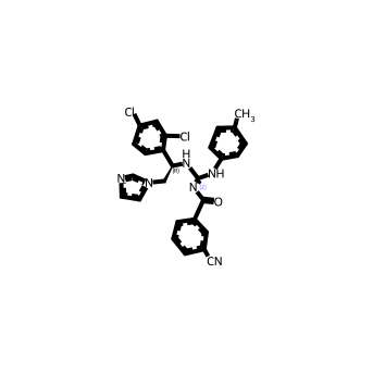 Cc1ccc(N/C(=N\C(=O)c2cccc(C#N)c2)N[C@@H](Cn2ccnc2)c2ccc(Cl)cc2Cl)cc1